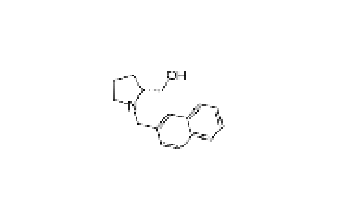 OC[C@H]1CCCN1Cc1ccc2ccccc2c1